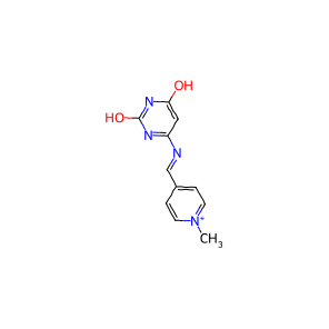 C[n+]1ccc(C=Nc2cc(O)nc(O)n2)cc1